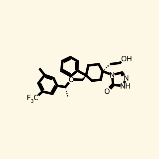 Cc1cc([C@@H](C)OC[C@]2(c3ccccc3)CC[C@](CCO)(n3cn[nH]c3=O)CC2)cc(C(F)(F)F)c1